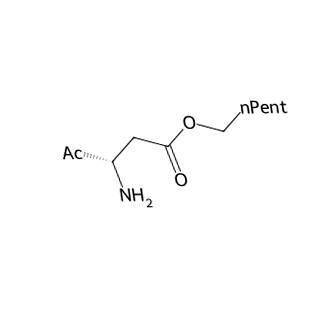 CCCCCCOC(=O)C[C@H](N)C(C)=O